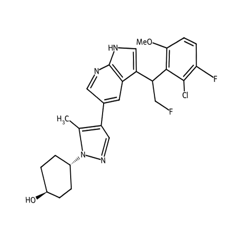 COc1ccc(F)c(Cl)c1C(CF)c1c[nH]c2ncc(-c3cnn([C@H]4CC[C@H](O)CC4)c3C)cc12